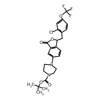 CC(C)(C)OC(=O)N1CCN(c2ccc3c(c2)C(=O)OC3Cc2ccc(OC(F)(F)F)cc2Cl)CC1